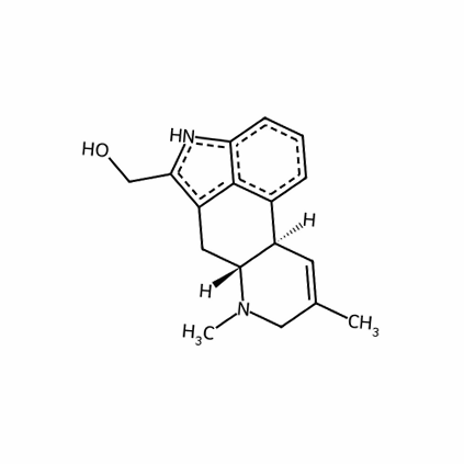 CC1=C[C@@H]2c3cccc4[nH]c(CO)c(c34)C[C@H]2N(C)C1